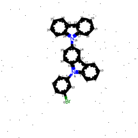 Brc1cccc(-n2c3ccccc3c3cc(-n4c5ccccc5c5ccccc54)ccc32)c1